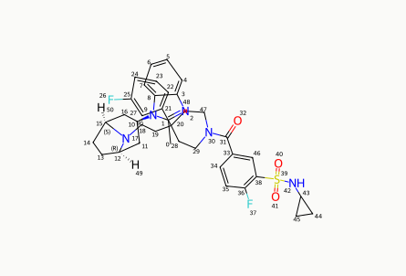 Cc1nc2ccccc2n1[C@H]1C[C@H]2CC[C@@H](C1)N2CCC1(c2cccc(F)c2)CCN(C(=O)c2ccc(F)c(S(=O)(=O)NC3CC3)c2)CC1